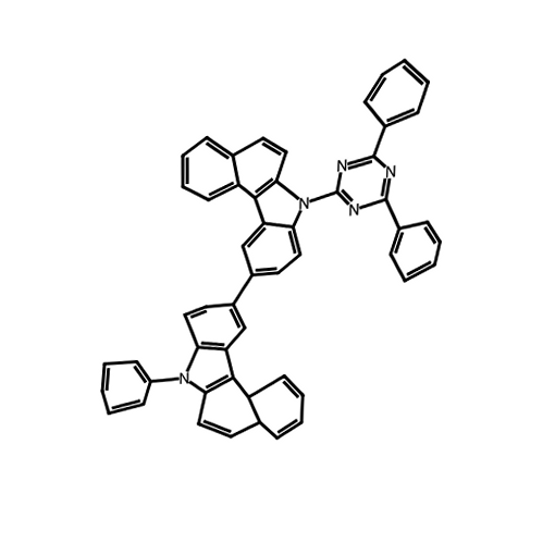 C1=CC2C=Cc3c(c4cc(-c5ccc6c(c5)c5c7ccccc7ccc5n6-c5nc(-c6ccccc6)nc(-c6ccccc6)n5)ccc4n3-c3ccccc3)C2C=C1